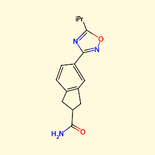 CC(C)c1nc(-c2ccc3c(c2)CC(C(N)=O)C3)no1